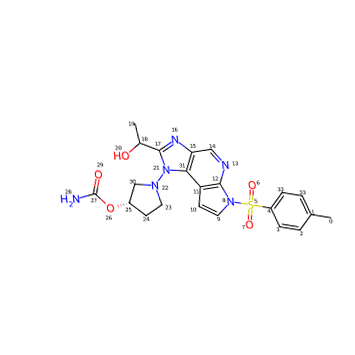 Cc1ccc(S(=O)(=O)n2ccc3c2ncc2nc(C(C)O)n(N4CC[C@H](OC(N)=O)C4)c23)cc1